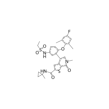 CCS(=O)(=O)Nc1ccc(Oc2c(C)cc(F)cc2C)c(-c2cn(C)c(=O)c3sc(C(=O)NC4(C)CC4)cc23)c1